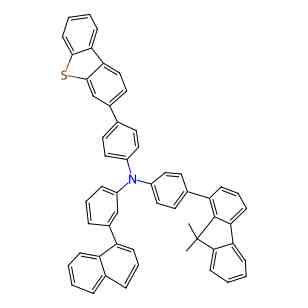 CC1(C)c2ccccc2-c2cccc(-c3ccc(N(c4ccc(-c5ccc6c(c5)sc5ccccc56)cc4)c4cccc(-c5cccc6ccccc56)c4)cc3)c21